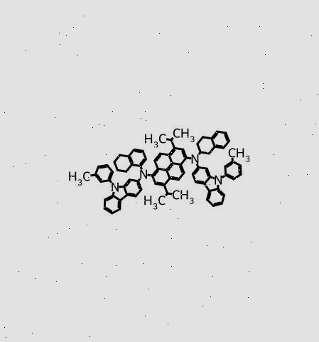 Cc1cccc(-n2c3ccccc3c3ccc(N(c4cccc5c4CCCC5)c4cc(C(C)C)c5ccc6c(N(c7ccc8c9ccccc9n(-c9cccc(C)c9)c8c7)C7CCc8ccccc8C7)cc(C(C)C)c7ccc4c5c76)cc32)c1